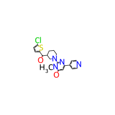 Cn1c(N2CCCC(C(=O)c3ccc(Cl)s3)C2)nc(-c2ccncc2)cc1=O